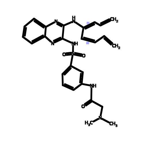 C=C/C=C\C(=C/C=C)Nc1nc2ccccc2nc1NS(=O)(=O)c1cccc(NC(=O)CN(C)C)c1